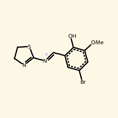 COc1cc(Br)cc(/C=N/C2=NCCS2)c1O